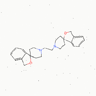 c1ccc2c(c1)COC21CCN(CCN2CCC3(CC2)OCc2ccccc23)CC1